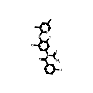 Cc1cnc(Sc2c(Cl)cc(N(C(=O)c3cccc(Cl)c3)C(N)=S)cc2Cl)c(C)c1